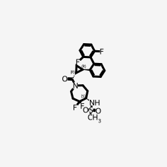 CS(=O)(=O)N[C@H]1CCN(C(=O)[C@@H]2C[C@H]2c2ccccc2-c2c(F)cccc2F)CCC1(F)F